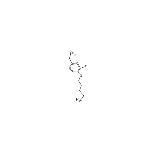 CCCCCOc1ccc(CC)cc1F